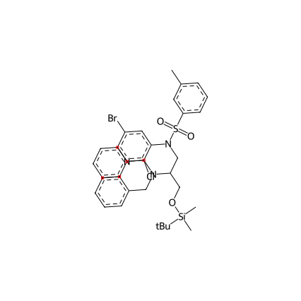 Cc1cccc(S(=O)(=O)N(CC(CO[Si](C)(C)C(C)(C)C)N(Cc2ccccc2)Cc2ccccc2)c2cc(Br)cnc2Cl)c1